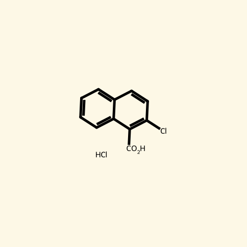 Cl.O=C(O)c1c(Cl)ccc2ccccc12